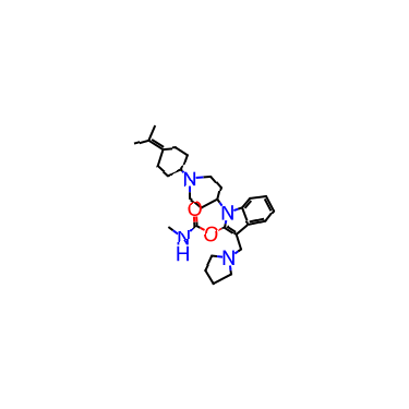 CNC(=O)Oc1c(CN2CCCC2)c2ccccc2n1C1CCN(C2CCC(=C(C)C)CC2)CC1